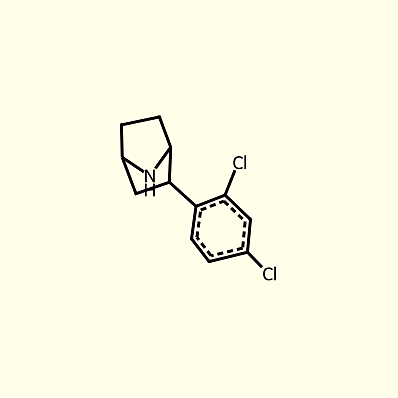 Clc1ccc(C2CC3CCC2N3)c(Cl)c1